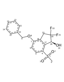 CS(=O)(=O)c1ccc(OCc2ccccc2)c2c1[C@H](O)C(F)(F)C2